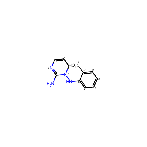 NC1=NC=CCN1Nc1ccccc1C(=O)O